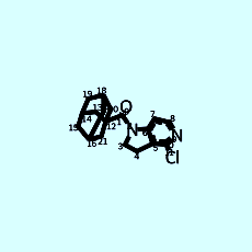 O=C(N1CCc2c1ccnc2Cl)C12CC3CC(CC(C3)C1)C2